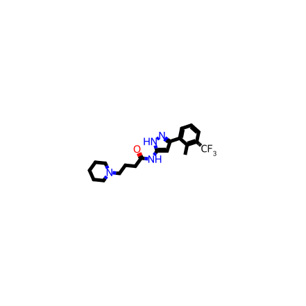 Cc1c(-c2cc(NC(=O)CCCN3CCCCC3)[nH]n2)cccc1C(F)(F)F